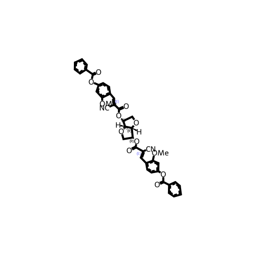 COc1cc(OC(=O)c2ccccc2)ccc1/C=C(\C#N)C(=O)O[C@H]1CO[C@H]2[C@@H]1OC[C@H]2OC(=O)/C(C#N)=C/c1ccc(OC(=O)c2ccccc2)cc1OC